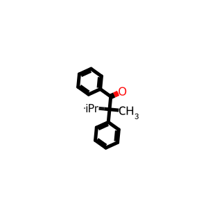 C[C](C)C(C)(C(=O)c1ccccc1)c1ccccc1